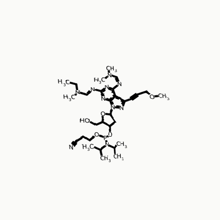 CCN(C)/C=N/c1nc(/N=C\N(C)C)c2c(C#CCOC)nn(C3CC(OP(OCCC#N)N(C(C)C)C(C)C)C(CO)O3)c2n1